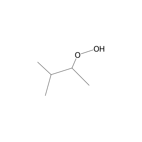 CC(C)C(C)OO